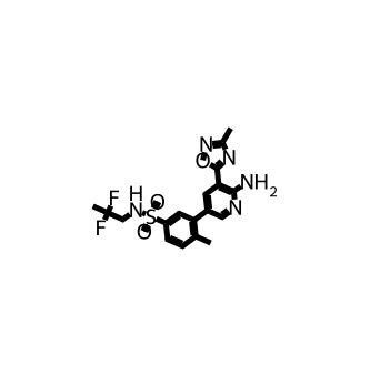 Cc1noc(-c2cc(-c3cc(S(=O)(=O)NCC(C)(F)F)ccc3C)cnc2N)n1